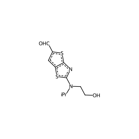 CC(C)N(CCO)c1nc2sc(C=O)cc2s1